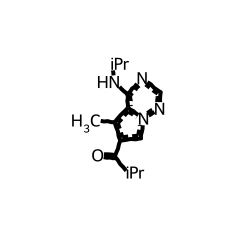 Cc1c(C(=O)C(C)C)cn2ncnc(NC(C)C)c12